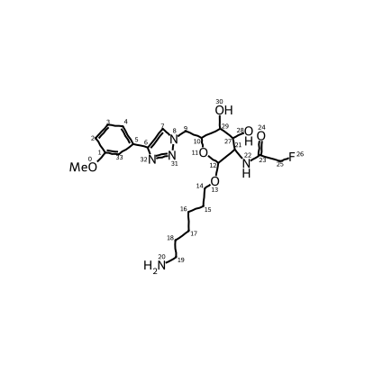 COc1cccc(-c2cn(CC3OC(OCCCCCCN)C(NC(=O)CF)C(O)C3O)nn2)c1